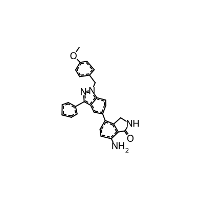 COc1ccc(Cn2nc(-c3ccccc3)c3cc(-c4ccc(N)c5c4CNC5=O)ccc32)cc1